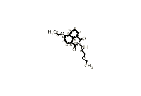 CCOCCNN1C(=O)c2cccc3c(OCC)ccc(c23)C1=O